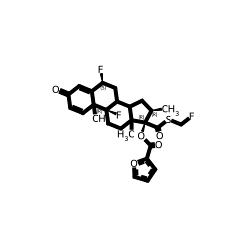 C[C@@H]1CC2C3C[C@H](F)C4=CC(=O)C=CC4(C)[C@@]3(F)CCC2(C)[C@@]1(OC(=O)c1ccco1)C(=O)SCF